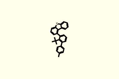 Cc1ccc(-c2cccc(-c3cccc4sc5ccccc5c34)c2C(C)(C)C)cc1